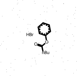 Br.CCCCC(=O)Oc1ccccc1